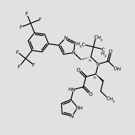 CCC[C@@H](C(=O)C(=O)Nc1ccn[nH]1)N(C(=O)O)[C@H](Cn1cnc(-c2cc(C(F)(F)F)cc(C(F)(F)F)c2)c1)C(C)(C)C